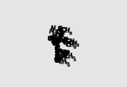 CC(C)(C)OC(=O)C[C@H](Cc1cc(CON(CCOS(C)(=O)=O)CCOS(C)(=O)=O)ccc1[N+](=O)[O-])NC(=O)OC(C)(C)C